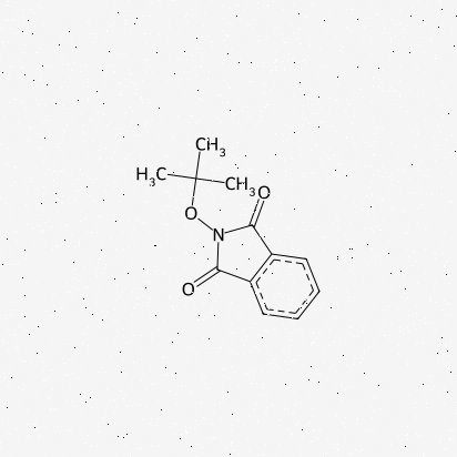 CC(C)(C)ON1C(=O)c2ccccc2C1=O